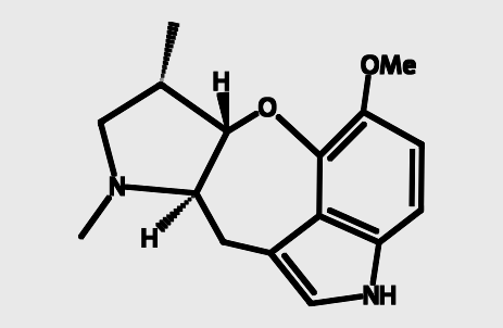 COc1ccc2[nH]cc3c2c1O[C@@H]1[C@@H](C3)N(C)C[C@@H]1C